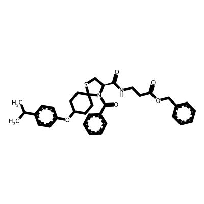 CC(C)c1ccc(OC2CCC3(CC2)SC[C@@H](C(=O)NCCC(=O)OCc2ccccc2)N3C(=O)c2ccccc2)cc1